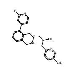 Cc1ccc(CN(C)C[C@H]2Cc3c(cccc3-c3ccnc(F)c3)CN2)nc1